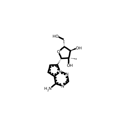 C[C@@]1(O)[C@H](O)[C@@H](CO)O[C@H]1c1ccc2c(N)ncnn12